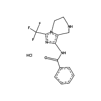 Cl.O=C(Nc1nc(C(F)(F)F)n2c1CNCC2)c1ccccc1